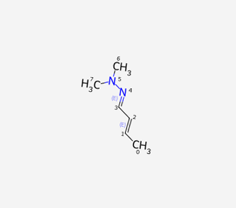 C/C=C/C=N/N(C)C